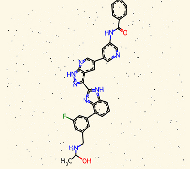 CC(O)NCc1cc(F)cc(-c2cccc3[nH]c(-c4n[nH]c5ncc(-c6cncc(NC(=O)c7ccccc7)c6)cc45)nc23)c1